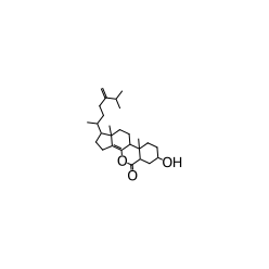 C=C(CCC(C)C1CCC2=C3OC(=O)C4CC(O)CCC4(C)C3CCC21C)C(C)C